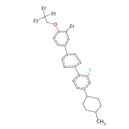 CCc1cc(-c2ccc(-c3ccc(C4CCC(C)CC4)cc3F)cc2)ccc1OCC(CC)(CC)CC